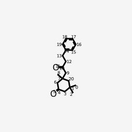 CC1(C)CC(=O)CC(C)(CC(=O)CCc2ccccc2)C1